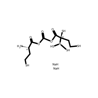 N[C@@H](CCS)C(=O)OC(=O)OC(=O)[C@](S)(CCS)N(S)S.[NaH].[NaH]